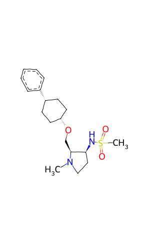 CN1CC[C@H](NS(C)(=O)=O)[C@@H]1CO[C@H]1CC[C@@H](c2ccccc2)CC1